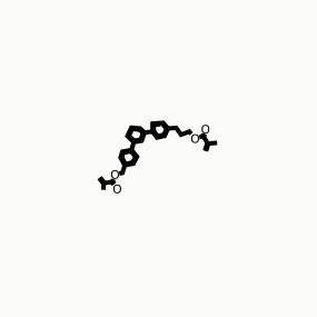 C=C(C)C(=O)OCCCc1ccc(-c2cccc(-c3ccc(COC(=O)C(=C)C)cc3)c2)cc1